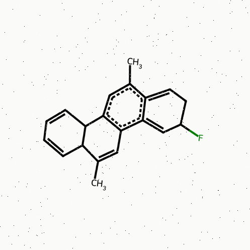 CC1=Cc2c(cc(C)c3c2=CC(F)CC=3)C2C=CC=CC12